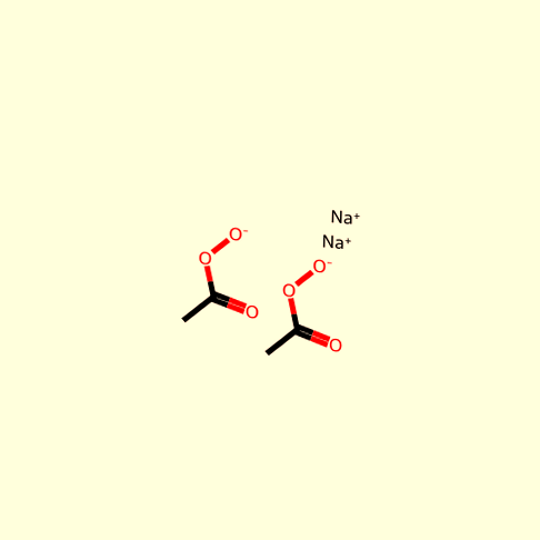 CC(=O)O[O-].CC(=O)O[O-].[Na+].[Na+]